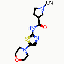 N#CN1CCC(C(=O)Nc2ncc(N3CCOCC3)s2)C1